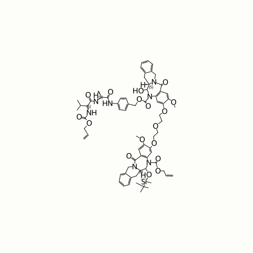 C=CCOC(=O)N[C@H](C(=O)N[C@@H](C)C(=O)Nc1ccc(COC(=O)N2c3cc(OCCOCCOc4cc5c(cc4OC)C(=O)N4Cc6ccccc6C[C@H]4C(O[Si](C)(C)C(C)(C)C)N5C(=O)OCC=C)c(OC)cc3C(=O)N3Cc4ccccc4C[C@H]3C2O)cc1)C(C)C